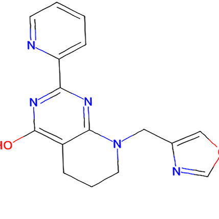 Oc1nc(-c2ccccn2)nc2c1CCCN2Cc1cocn1